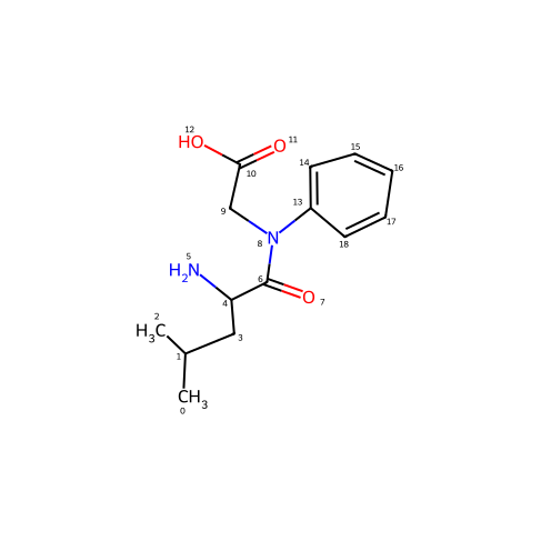 CC(C)CC(N)C(=O)N(CC(=O)O)c1ccccc1